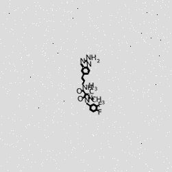 Cc1c(C(=O)NC/C=C/c2ccc3nc(N)ncc3c2)c(=O)n(Cc2ccc(F)c(F)c2)n1C